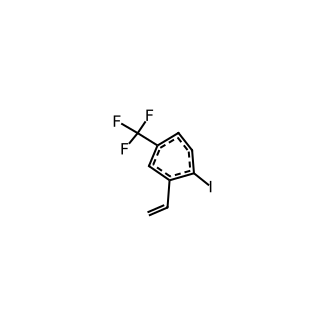 C=Cc1cc(C(F)(F)F)ccc1I